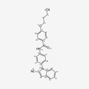 N#CCCCOc1ccc(C(=O)Nc2ccc(-n3c(C#N)cc4ccccc43)cc2)cc1